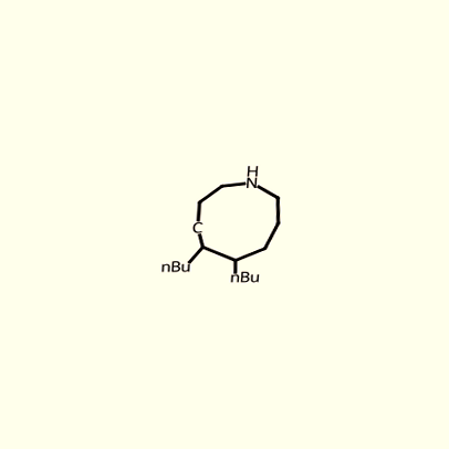 CCCCC1CCCNCCCC1CCCC